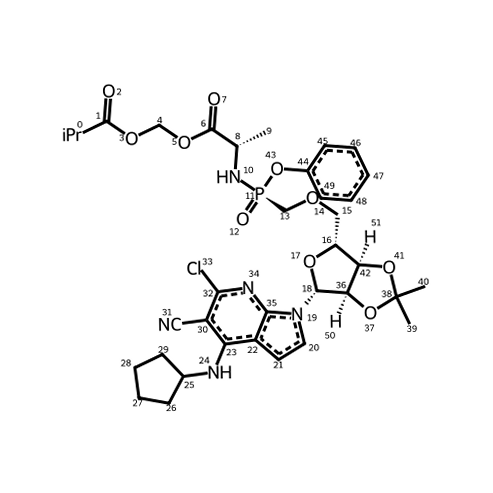 CC(C)C(=O)OCOC(=O)[C@H](C)N[P@](=O)(COC[C@H]1O[C@@H](n2ccc3c(NC4CCCC4)c(C#N)c(Cl)nc32)[C@@H]2OC(C)(C)O[C@@H]21)Oc1ccccc1